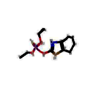 CCOP(=S)(OCC)Oc1nc2c(s1)CCCC2